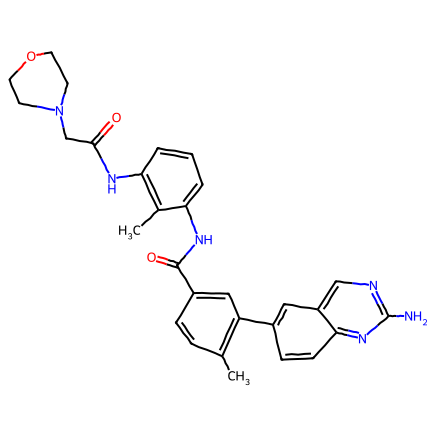 Cc1ccc(C(=O)Nc2cccc(NC(=O)CN3CCOCC3)c2C)cc1-c1ccc2nc(N)ncc2c1